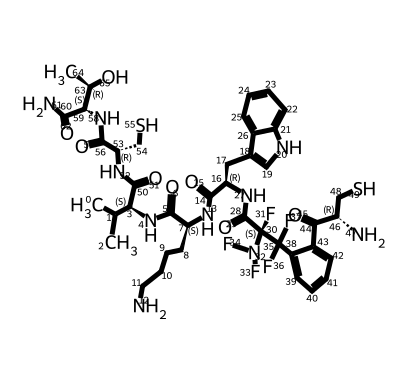 CC(C)[C@H](NC(=O)[C@H](CCCCN)NC(=O)[C@@H](Cc1c[nH]c2ccccc12)NC(=O)[C@@](F)(N(F)F)C(F)(F)c1ccccc1C(=O)[C@@H](N)CS)C(=O)N[C@@H](CS)C(=O)N[C@H](C(N)=O)[C@@H](C)O